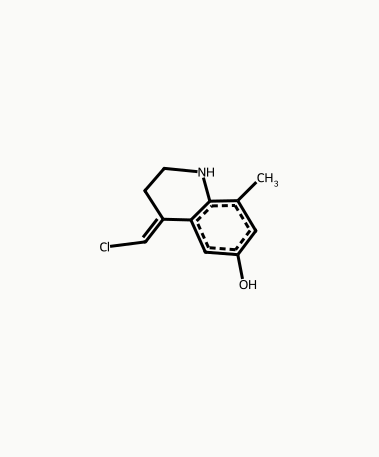 Cc1cc(O)cc2c1NCCC2=CCl